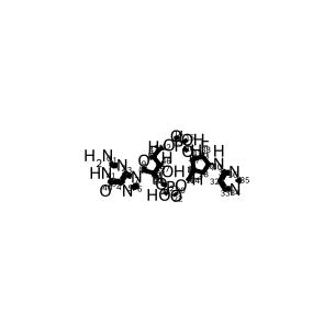 Nc1nc2c(ncn2[C@@H]2O[C@@H]3COP(=O)(O)O[C@@H]4[C@@H](COP(=O)(O)O[C@@H]2[C@@H]3O)C[C@@H](Nc2ccncn2)[C@@H]4F)c(=O)[nH]1